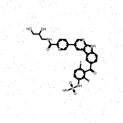 CCCS(=O)(=O)Nc1ccc(F)c(C(=O)c2ccc3[nH]c4ncc(-c5ccc(C(=O)NCC(O)CO)nc5)cc4c3c2)c1F